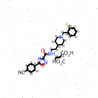 N#Cc1ccc(-c2nc(C(=O)NCCC3CCN(Cc4ccccc4F)CC3)no2)cc1.O=C(O)C=CC(=O)O